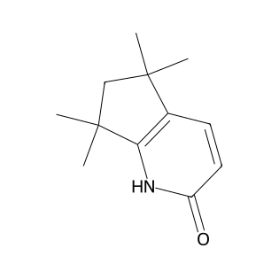 CC1(C)CC(C)(C)c2[nH]c(=O)ccc21